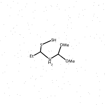 CCC([SiH2]C(OC)OC)SS